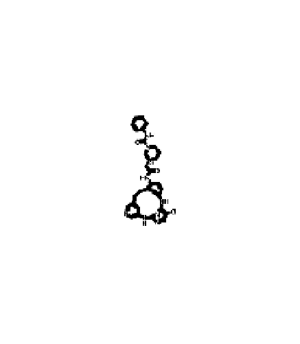 O=C(C[C@@H]1CCCN(C(=O)Nc2ccccc2)C1)Nc1ccc2cc1CCc1cncc(c1)Nc1ncc(Cl)c(n1)N2